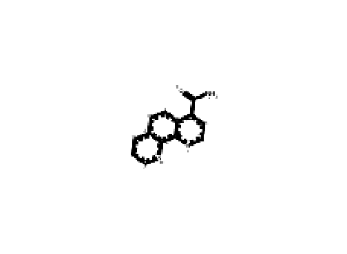 NC(=O)c1ccnc2c1ccc1cccnc12